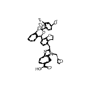 CC1(c2ccc(Cl)cc2F)Oc2ccccc2C(c2ccc(Cc3nc4ccc(C(=O)O)cc4n3C[C@@H]3CCO3)c3c2OCC3)O1